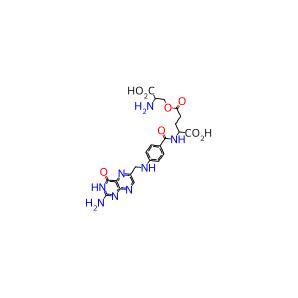 Nc1nc2ncc(CNc3ccc(C(=O)NC(CCC(=O)OCC(N)C(=O)O)C(=O)O)cc3)nc2c(=O)[nH]1